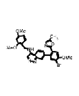 COc1ccc(CNc2cnnc3cc(-c4cc(Br)c(OC)cc4-c4ncc(C)o4)ccc23)c(OC)c1